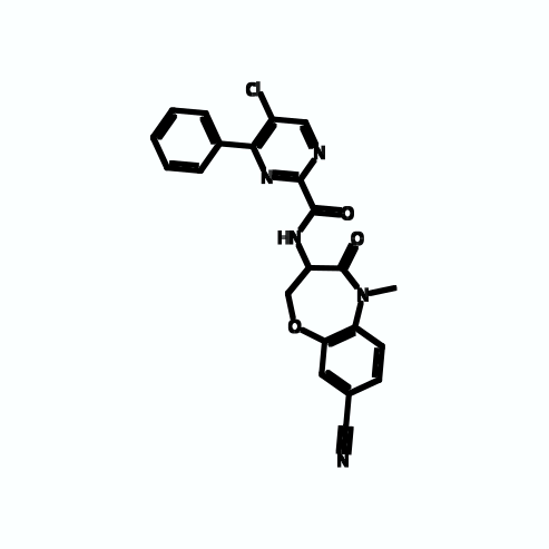 CN1C(=O)C(NC(=O)c2ncc(Cl)c(-c3ccccc3)n2)COc2cc(C#N)ccc21